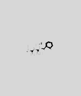 CNC(=N)NC(=N)NCc1ccccc1.Cl